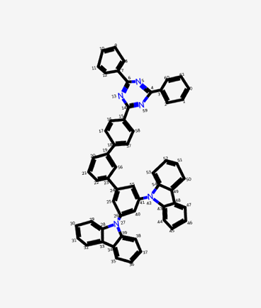 c1ccc(-c2nc(-c3ccccc3)nc(-c3ccc(-c4cccc(-c5cc(-n6c7ccccc7c7ccccc76)cc(-n6c7ccccc7c7ccccc76)c5)c4)cc3)n2)cc1